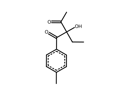 CCC(O)(C(C)=O)C(=O)c1ccc(C)cc1